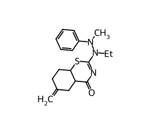 C=C1CCC2SC(N(CC)N(C)c3ccccc3)=NC(=O)C2C1